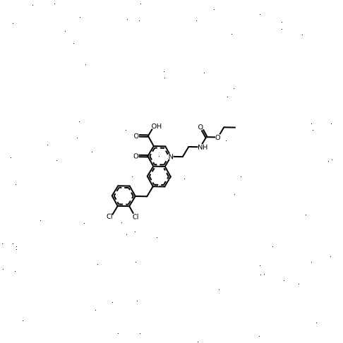 CCOC(=O)NCCn1cc(C(=O)O)c(=O)c2cc(Cc3cccc(Cl)c3Cl)ccc21